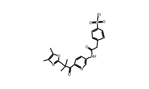 CCS(=O)(=O)c1ccc(CC(=O)Nc2ccc(C(=O)C(C)(C)c3nc(C)c(C)o3)nc2)cc1